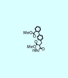 CCCCC(=O)C(Cc1ccc(-c2ccccc2C(=O)OC)cc1)C(=O)OC